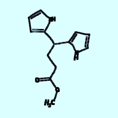 COC(=O)CCC(c1ccc[nH]1)c1ccc[nH]1